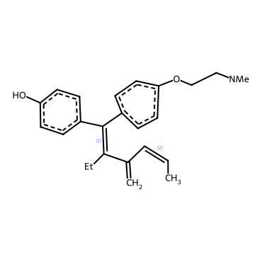 C=C(/C=C\C)/C(CC)=C(/c1ccc(O)cc1)c1ccc(OCCNC)cc1